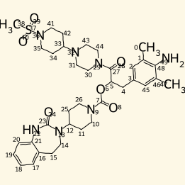 Cc1cc(CC(OC(=O)N2CCC(N3CCc4ccccc4NC3=O)CC2)C(=O)N2CCN(C3CCN(S(C)(=O)=O)CC3)CC2)cc(C)c1N